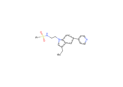 CC(C)S(=O)(=O)NCCn1cc(CC(C)(C)C)c2cc(-c3ccncc3)ccc21